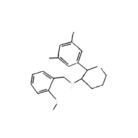 COc1ccccc1CNC1CCCNC1c1cc(Br)cc(Br)c1